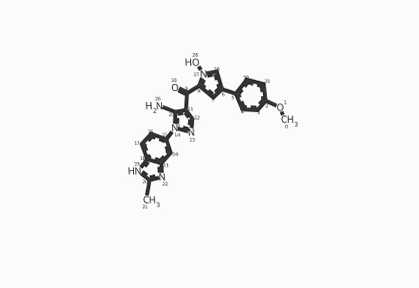 COc1ccc(-c2cc(C(=O)c3cnn(-c4ccc5[nH]c(C)nc5c4)c3N)n(O)c2)cc1